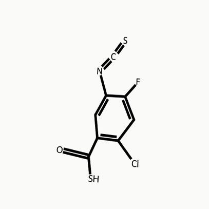 O=C(S)c1cc(N=C=S)c(F)cc1Cl